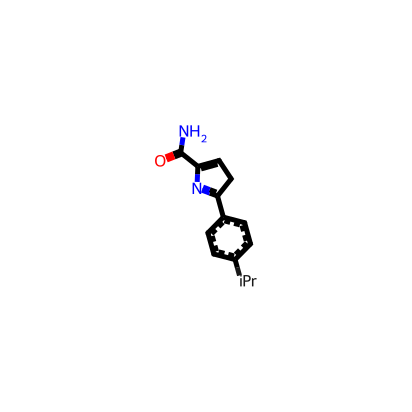 CC(C)c1ccc(C2=NC(C(N)=O)=CC2)cc1